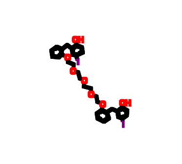 Oc1ccc(I)cc1Cc1ccccc1OCCOCCOCCOCCOc1ccccc1Cc1cc(I)ccc1O